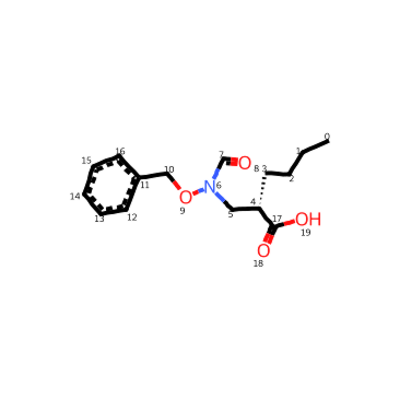 CCCC[C@@H](CN(C=O)OCc1ccccc1)C(=O)O